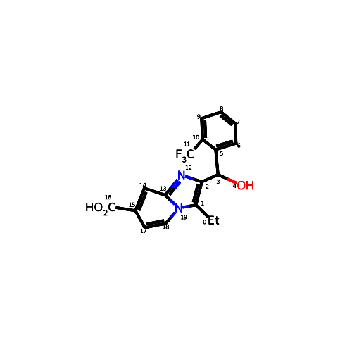 CCc1c(C(O)c2ccccc2C(F)(F)F)nc2cc(C(=O)O)ccn12